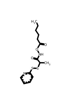 CCCCCC(=O)ONC(=O)C(C)SSc1ccccn1